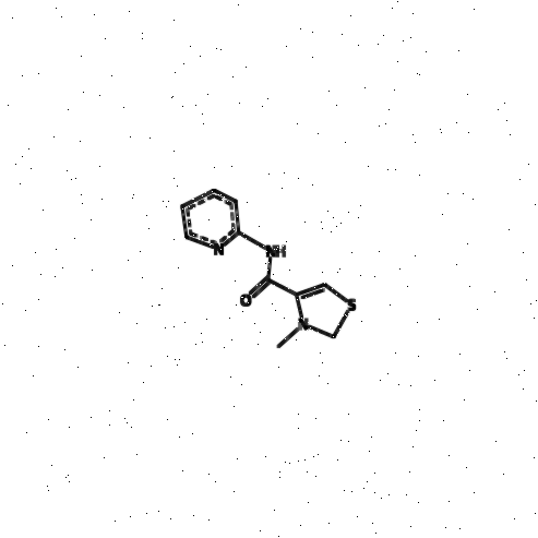 CN1CSC=C1C(=O)Nc1ccccn1